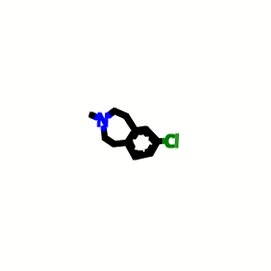 CN1CCc2ccc(Cl)cc2CC1